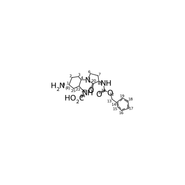 N[C@@H]1CCC(N2CCC(NC(=O)OCc3ccccc3)C2=O)C(NC(=O)O)C1